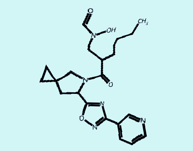 CCCCC(CN(O)C=O)C(=O)N1CC2(CC2)CC1c1nc(-c2cccnc2)no1